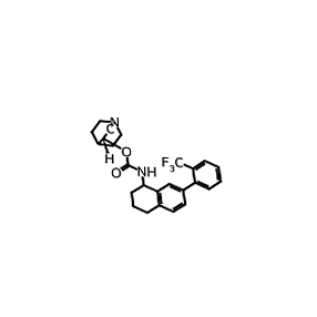 O=C(NC1CCCc2ccc(-c3ccccc3C(F)(F)F)cc21)O[C@H]1CN2CCC1CC2